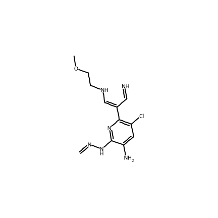 C=NNc1nc(/C(C=N)=C/NCCOC)c(Cl)cc1N